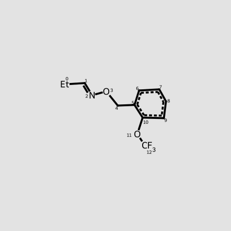 CCC=NOCc1ccccc1OC(F)(F)F